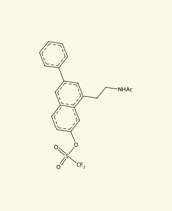 CC(=O)NCCc1cc(-c2ccccc2)cc2ccc(OS(=O)(=O)C(F)(F)F)cc12